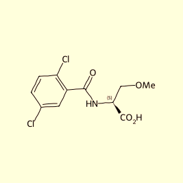 COC[C@H](NC(=O)c1cc(Cl)ccc1Cl)C(=O)O